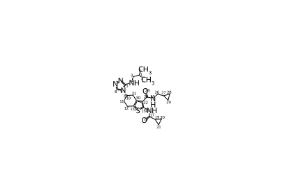 CC(C)CNc1nncn1[C@H]1CCc2sc(NC(=O)C3CC3)c(C(=O)NCC3CC3)c2C1